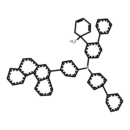 CC1(c2cc(N(c3ccc(-c4ccccc4)cc3)c3ccc(-c4cc5ccc6ccccc6c5c5ccccc45)cc3)ccc2-c2ccccc2)C=CC=CC1